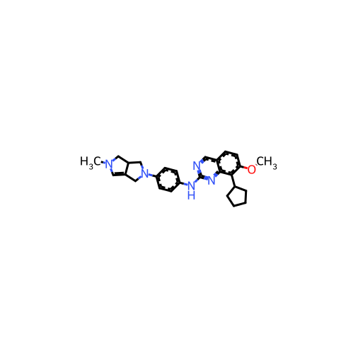 COc1ccc2cnc(Nc3ccc(N4CC5=CN(C)CC5C4)cc3)nc2c1C1CCCC1